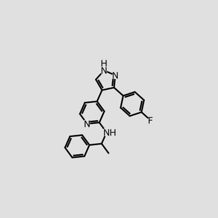 CC(Nc1cc(-c2c[nH]nc2-c2ccc(F)cc2)ccn1)c1ccccc1